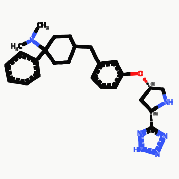 CN(C)C1(c2ccccc2)CCC(Cc2cccc(O[C@@H]3CN[C@H](c4nn[nH]n4)C3)c2)CC1